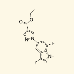 CCOC(=O)c1cnn(-c2cc(F)c3[nH]nc(I)c3c2)c1